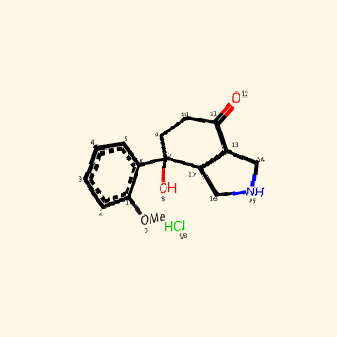 COc1ccccc1C1(O)CCC(=O)C2CNCC21.Cl